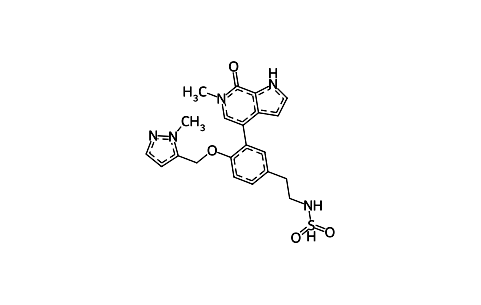 Cn1nccc1COc1ccc(CCN[SH](=O)=O)cc1-c1cn(C)c(=O)c2[nH]ccc12